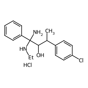 CCNC(N)(c1ccccc1)C(O)C(C)c1ccc(Cl)cc1.Cl